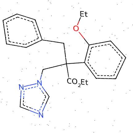 CCOC(=O)C(Cc1ccccc1)(Cn1cncn1)c1ccccc1OCC